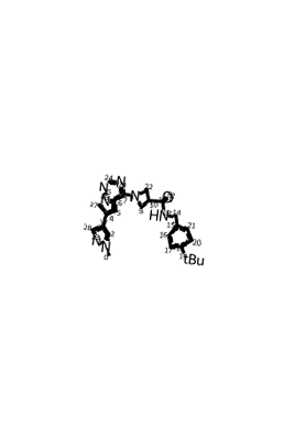 Cn1cc(-c2cc3c(N4CC(C(=O)NCc5ccc(C(C)(C)C)cc5)C4)ncnn3c2)cn1